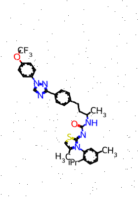 Cc1ccc(C(C)C)c(-n2c(C)cs/c2=N\C(=O)NC(C)CCc2ccc(-c3ncn(-c4ccc(OC(F)(F)F)cc4)n3)cc2)c1